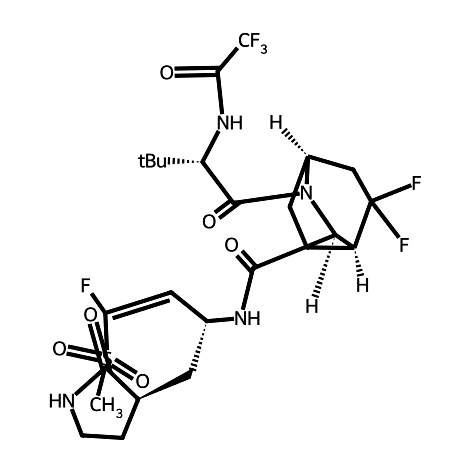 CC(C)(C)[C@H](NC(=O)C(F)(F)F)C(=O)N1[C@H]2CC[C@@H]([C@H]1C(=O)N[C@@H](/C=C(/F)S(C)(=O)=O)C[C@H]1CCNC1=O)C(F)(F)C2